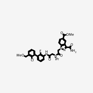 COCc1cccc(-c2cccc(NC(=O)CN(C(=O)Cn3nc(C(N)=O)c4cc(C(=O)OC)ccc43)C(C)C)c2F)c1Cl